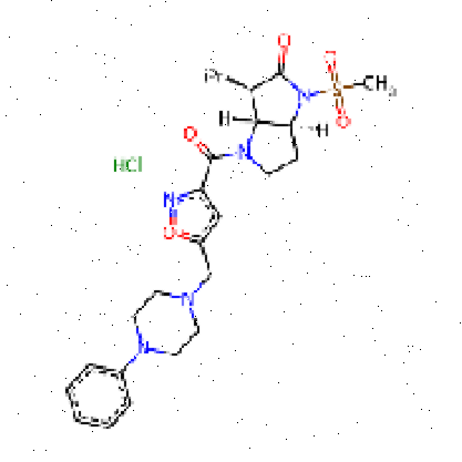 CC(C)[C@H]1C(=O)N(S(C)(=O)=O)[C@H]2CCN(C(=O)c3cc(CN4CCN(c5ccccc5)CC4)on3)[C@H]12.Cl